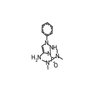 CN(C)P(=O)(N(C)C)N1NN(c2ccccc2)C=C1N